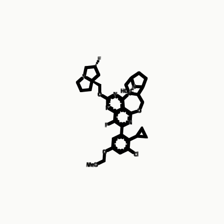 COCOc1cc(Cl)c(C2CC2)c(-c2nc3c4c(nc(OC[C@@]56CCCN5C[C@H](F)C6)nc4c2F)N2CC4CCC(C2CO3)N4C(=O)O)c1